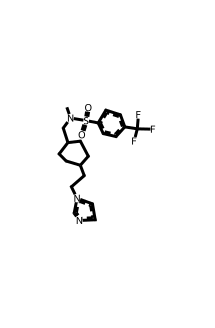 CN(CC1CCC(CCn2ccnc2)CC1)S(=O)(=O)c1ccc(C(F)(F)F)cc1